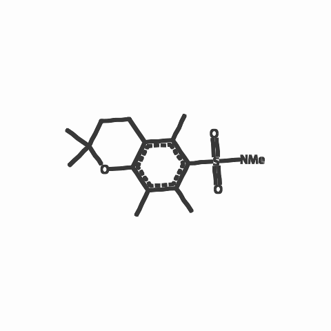 CNS(=O)(=O)c1c(C)c(C)c2c(c1C)CCC(C)(C)O2